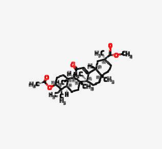 COC(=O)[C@@]1(C)CC[C@]2(C)CC[C@]3(C)C(=CC(=O)[C@@H]4[C@@]5(C)CC[C@H](OC(C)=O)C(C)(C)[C@@H]5CC[C@]43C)[C@@H]2C1